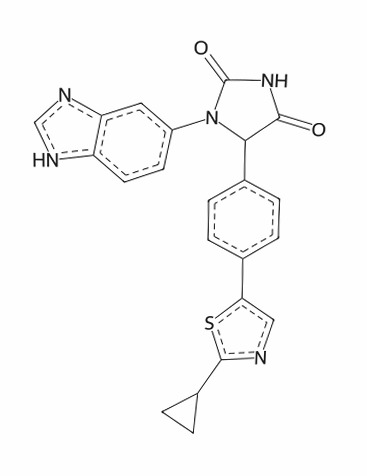 O=C1NC(=O)N(c2ccc3[nH]cnc3c2)C1c1ccc(-c2cnc(C3CC3)s2)cc1